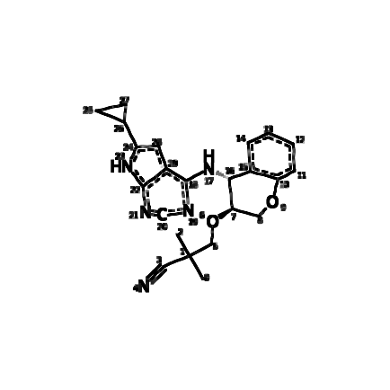 CC(C)(C#N)CO[C@@H]1COc2ccccc2[C@H]1Nc1ncnc2[nH]c(C3CC3)cc12